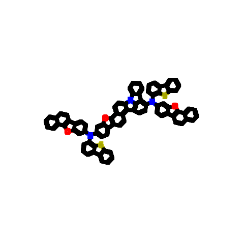 c1ccc2c(c1)ccc1c3ccc(N(c4ccc5c(c4)oc4c5ccc5c4ccc4c5c5ccc(N(c6ccc7c(c6)oc6c8ccccc8ccc76)c6cccc7c6sc6ccccc67)c6c7ccccc7n4c56)c4cccc5c4sc4ccccc45)cc3oc21